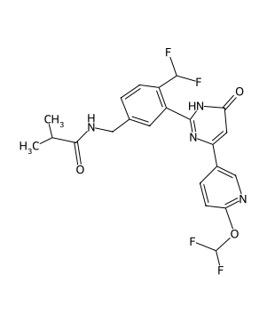 CC(C)C(=O)NCc1ccc(C(F)F)c(-c2nc(-c3ccc(OC(F)F)nc3)cc(=O)[nH]2)c1